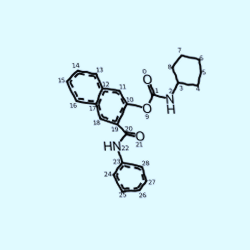 O=C(NC1CCCCC1)Oc1cc2ccccc2cc1C(=O)Nc1ccccc1